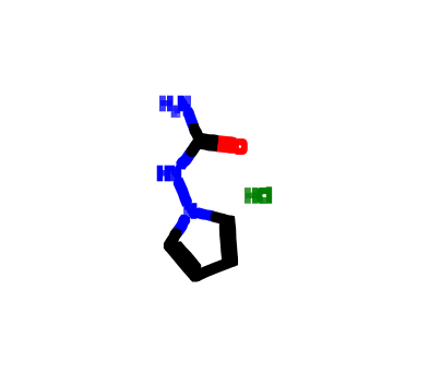 Cl.NC(=O)Nn1cccc1